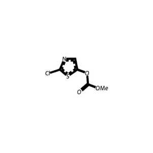 COC(=O)Oc1cnc(Cl)s1